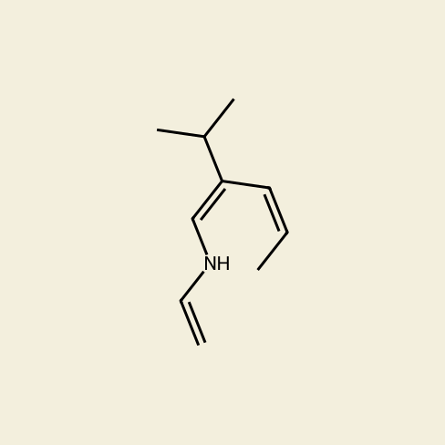 C=CN/C=C(\C=C/C)C(C)C